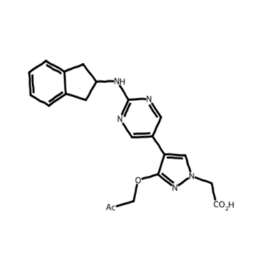 CC(=O)COc1nn(CC(=O)O)cc1-c1cnc(NC2Cc3ccccc3C2)nc1